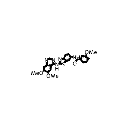 COc1cccc(C(=O)Nc2ccc3nc(Nc4ncnc5cc(OC)c(OC)cc45)sc3c2)c1